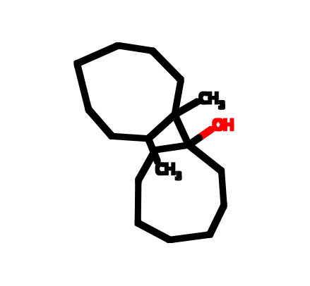 CC1CCCCCCC1(C)C1(O)CCCCCCC1